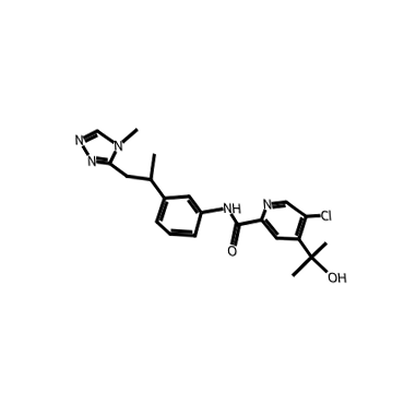 CC(Cc1nncn1C)c1cccc(NC(=O)c2cc(C(C)(C)O)c(Cl)cn2)c1